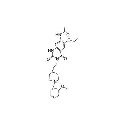 CCOc1cc2c(=O)n(CCN3CCN(c4ccccc4OC)CC3)c(=O)[nH]c2cc1NC(C)=O